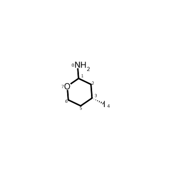 NC1C[C@H](I)CCO1